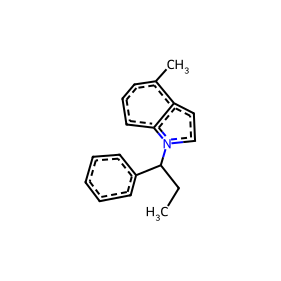 CCC(c1ccccc1)n1ccc2c(C)cccc21